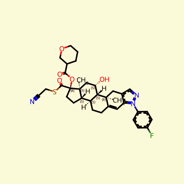 C[C@]12Cc3cnn(-c4ccc(F)cc4)c3C=C1CC[C@@H]1[C@@H]2[C@@H](O)C[C@@]2(C)[C@H]1CC[C@]2(OC(=O)C1CCCOC1)C(=O)SCC#N